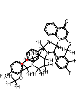 [2H]C([2H])([2H])OCC([2H])([2H])N1C([2H])([2H])C([2H])([2H])C([2H])(N(C(=O)C([2H])([2H])n2c(SC([2H])([2H])c3cccc(F)c3F)cc(=O)c3ccccc32)C([2H])(C)c2ccc(-c3ccc(C(F)(F)F)cc3)cc2)C([2H])([2H])C1([2H])[2H]